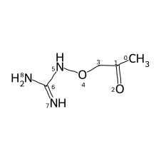 CC(=O)CONC(=N)N